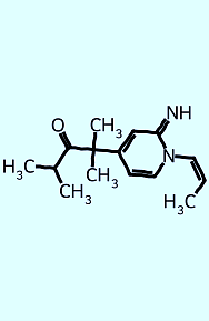 C/C=C\n1ccc(C(C)(C)C(=O)C(C)C)cc1=N